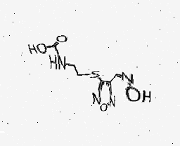 O=C(O)NCCSc1nonc1/C=N\O